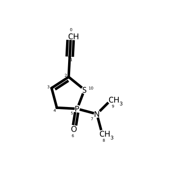 C#CC1=CCP(=O)(N(C)C)S1